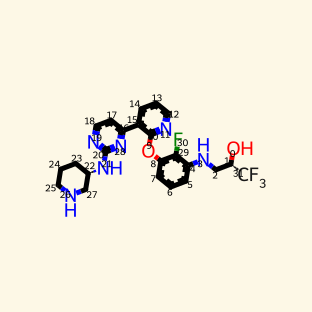 O[C@@H](CNc1cccc(Oc2ncccc2-c2ccnc(N[C@H]3CCCNC3)n2)c1F)C(F)(F)F